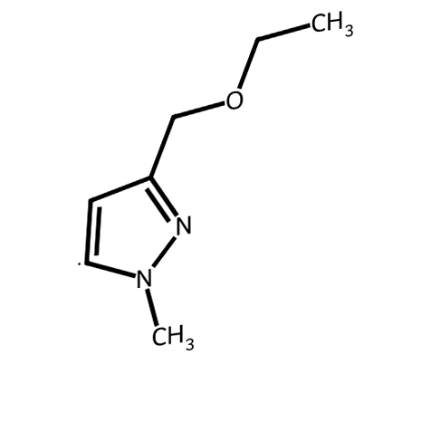 CCOCc1c[c]n(C)n1